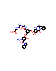 COc1cc(C(=O)N2c3ccccc3C[C@H]2C)c(N)cc1OCc1cc(COc2cc3c(cc2OC)C(=O)N2c4ccccc4C[C@H]2CN3)cc(C(=O)N[C@@H](C)C(=O)N[C@@H](C)C(=O)NCCC(=O)O)c1